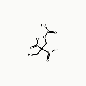 O=[N+]([O-])C(CO)(COS(=O)O)[N+](=O)[O-]